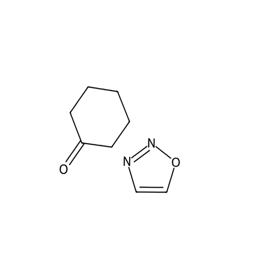 O=C1CCCCC1.c1conn1